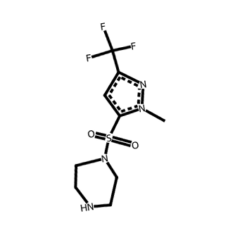 Cn1nc(C(F)(F)F)cc1S(=O)(=O)N1CCNCC1